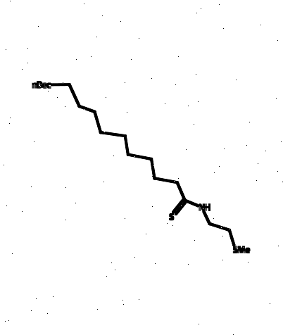 CCCCCCCCCCCCCCCCCCCC(=S)NCCSC